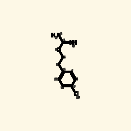 N=C(N)OCCc1ccc(Cl)cc1